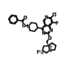 O=C(ON1CCC(c2nc(OC[C@@]34CCCN3C[C@H](F)C4)nc3c(F)c(Cl)ncc23)CC1)c1ccccc1